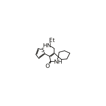 CCNCC1=C(c2cccs2)C(=O)NC12CCCCC2